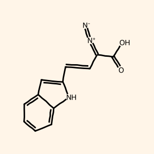 [N-]=[N+]=C(C=Cc1cc2ccccc2[nH]1)C(=O)O